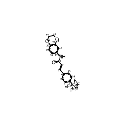 O=C(/C=C/c1ccc(S(F)(F)(F)(F)F)cc1)Nc1ccc2c(c1)OCCO2